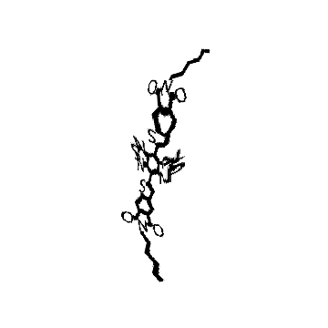 CCCCCCN1C(=O)c2cc3cc(-c4c5c(c(-c6cc7cc8c(cc7s6)C(=O)N(CCCCCC)C8=O)c6nsnc46)N=S=N5)sc3cc2C1=O